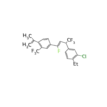 C=C(C)c1ccc(/C(F)=C/C(c2ccc(CC)c(Cl)c2)C(F)(F)F)cc1C(F)(F)F